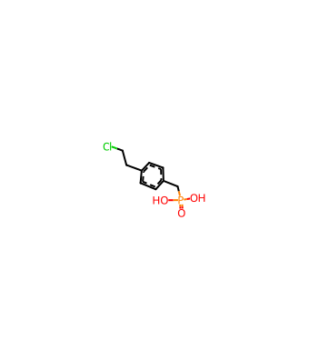 O=P(O)(O)Cc1ccc(CCCl)cc1